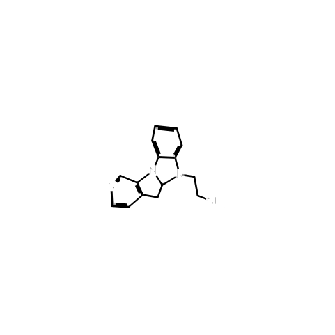 NCCN1c2ccccc2N2c3cnccc3CC12